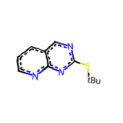 CC(C)(C)Sc1ncc2cccnc2n1